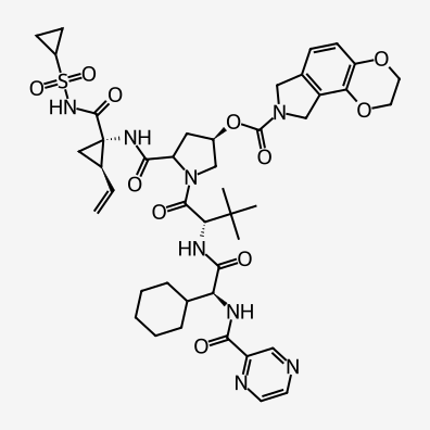 C=C[C@H]1C[C@@]1(NC(=O)C1C[C@@H](OC(=O)N2Cc3ccc4c(c3C2)OCCO4)CN1C(=O)[C@@H](NC(=O)[C@@H](NC(=O)c1cnccn1)C1CCCCC1)C(C)(C)C)C(=O)NS(=O)(=O)C1CC1